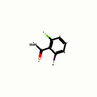 CNC(=O)c1c(F)cccc1I